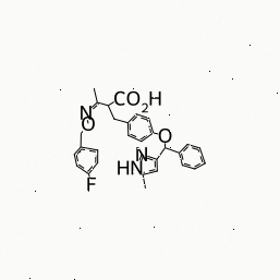 CC(=NOCc1ccc(F)cc1)C(Cc1ccc(OC(c2ccccc2)c2cc(C)[nH]n2)cc1)C(=O)O